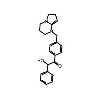 O=C(c1ccc(CN2CCCN3CCC=C32)cc1)C(O)c1ccccc1